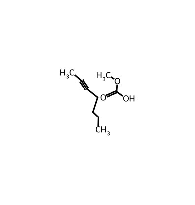 CC#CCCCC.COC(=O)O